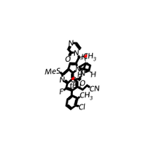 CSc1nc2c(F)c(-c3cccc(Cl)c3C)c(CCC#N)cc2c2c1cc([C@@H](C)n1ccncc1=O)n2[C@H]1[C@@H]2C[C@H]1N(C(=O)OC(C)(C)C)C2